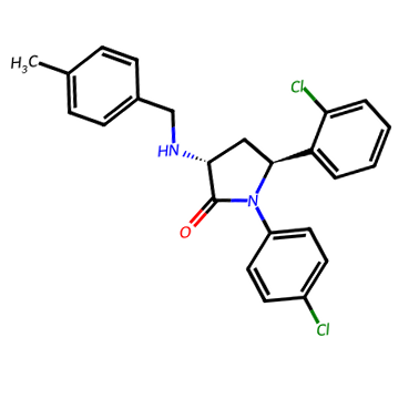 Cc1ccc(CN[C@@H]2C[C@@H](c3ccccc3Cl)N(c3ccc(Cl)cc3)C2=O)cc1